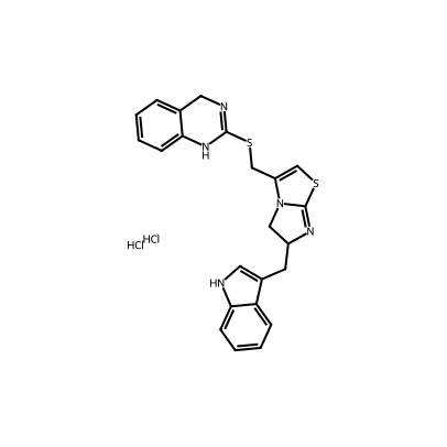 C1=C(CSC2=NCc3ccccc3N2)N2CC(Cc3c[nH]c4ccccc34)N=C2S1.Cl.Cl